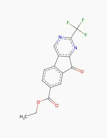 CCOC(=O)c1ccc2c(c1)C(=O)c1nc(C(F)(F)F)ncc1-2